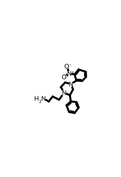 NCCCN1CCN(c2ccccc2[N+](=O)[O-])CC1c1ccccc1